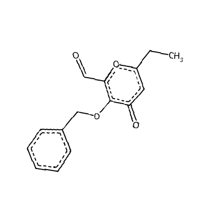 CCc1cc(=O)c(OCc2ccccc2)c(C=O)o1